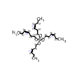 CC/C=C\CCO[Si](OCC/C=C\CC)(OCC/C=C\CC)OCC/C=C\CC